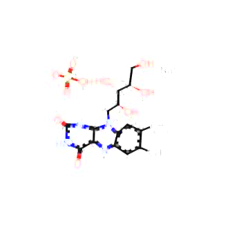 Cc1cc2nc3c(=O)[nH]c(=O)nc-3n(C[C@H](O)[C@H](O)[C@H](O)CO)c2cc1C.O=S(=O)([O-])O.[Na+]